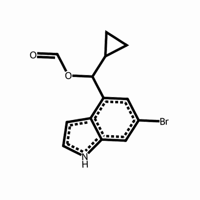 O=COC(c1cc(Br)cc2[nH]ccc12)C1CC1